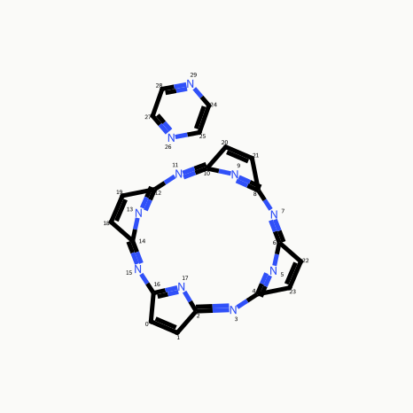 C1=C/C2=N/C3=NC(=N\C4=NC(=N\C5=NC(=N\C1=N2)/C=C5)/C=C4)/C=C3.c1cnccn1